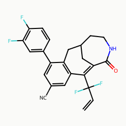 C=CC(F)(F)C1=C2CC(CCNC2=O)Cc2c1cc(C#N)cc2-c1ccc(F)c(F)c1